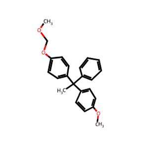 COCOc1ccc(C(C)(c2ccccc2)c2ccc(OC)cc2)cc1